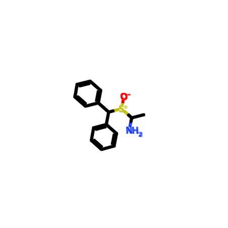 CC(N)[S+]([O-])C(c1ccccc1)c1ccccc1